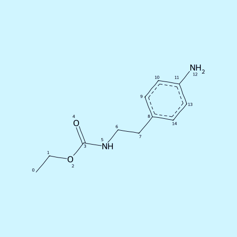 CCOC(=O)NCCc1ccc(N)cc1